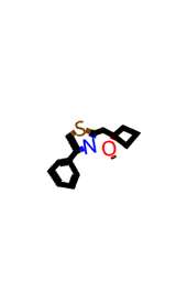 COC1(Cc2nc(-c3ccccc3)cs2)CCC1